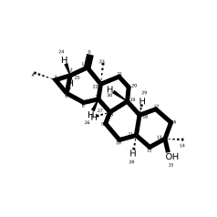 C=C1[C@H]2[C@@H](C)[C@H]2C[C@H]2[C@@H]3CC[C@@H]4C[C@](C)(O)CC[C@@H]4[C@H]3CC[C@]12C